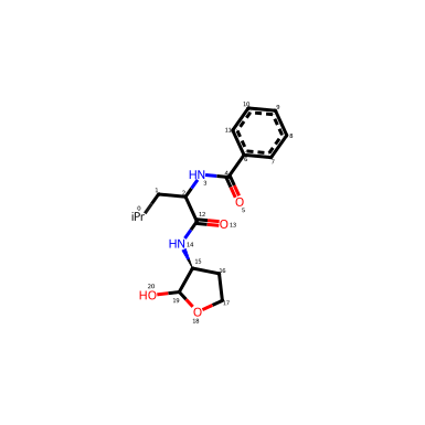 CC(C)CC(NC(=O)c1ccccc1)C(=O)N[C@H]1CCOC1O